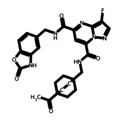 CC(=O)C12CCC(CNC(=O)c3cc(C(=O)NCc4ccc5oc(=O)[nH]c5c4)nc4c(F)cnn34)(CC1)CC2